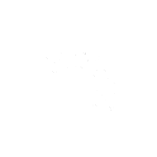 N=C(N)c1ccc2[nH]c(Cc3nc4cc(C(=N)N)ccc4[nH]3)nc2c1.[Zn]